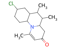 CC1=CC(=O)CC2C(C)C(C)C3CC(Cl)CCC3N12